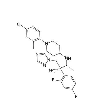 Cc1cc(Cl)ccc1N1CCC(N[C@H](C)[C@](O)(Cn2cncn2)c2ccc(F)cc2F)CC1